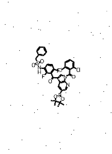 CC1(C)OB(c2cnc3c(c2)c(C(=O)c2c(F)ccc(NS(=O)(=O)Cc4ccccc4)c2F)cn3C(=O)c2c(Cl)cccc2Cl)OC1(C)C